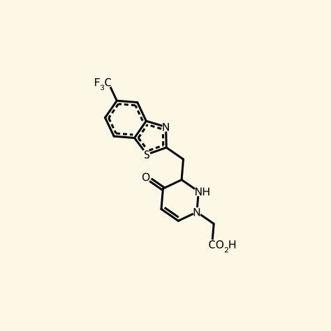 O=C(O)CN1C=CC(=O)C(Cc2nc3cc(C(F)(F)F)ccc3s2)N1